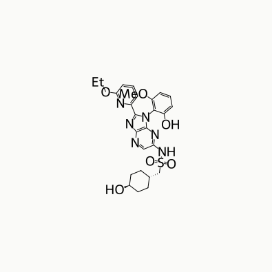 CCOC1=NC(c2nc3ncc(NS(=O)(=O)C[C@H]4CC[C@H](O)CC4)nc3n2-c2c(O)cccc2OC)=C=C=C1